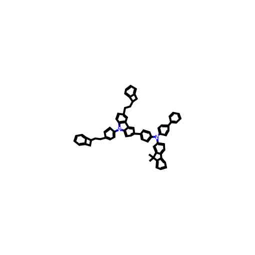 CC1(C)c2ccccc2-c2ccc(N(c3ccc(-c4ccccc4)cc3)c3ccc(-c4ccc5c(c4)c4cc(CCC6Cc7ccccc76)ccc4n5-c4ccc(CCC5Cc6ccccc65)cc4)cc3)cc21